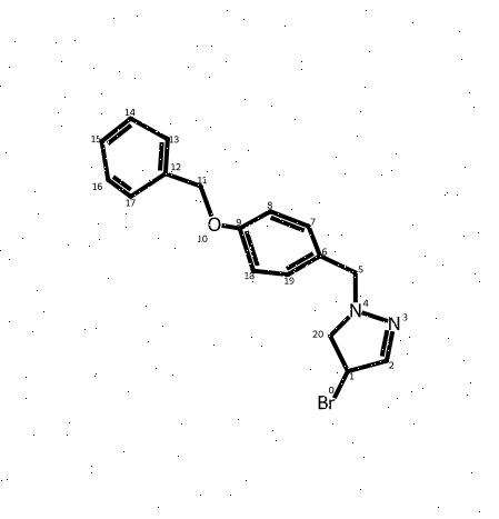 BrC1C=NN(Cc2ccc(OCc3ccccc3)cc2)C1